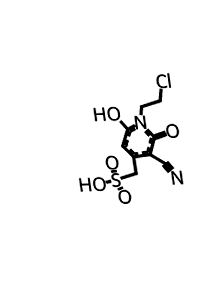 N#Cc1c(CS(=O)(=O)O)cc(O)n(CCCl)c1=O